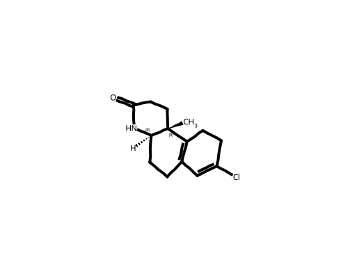 C[C@]12CCC(=O)N[C@@H]1CCC1=C2CCC(Cl)=C1